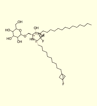 CCCCCCCCCCCCCC[C@@H](O)[C@@H](O)[C@H](COC1OC(CO)C(O)C(O)C1O)N[C@@H](CCCCCCCCCCC12CC(F)(C1)C2)C(F)(F)F